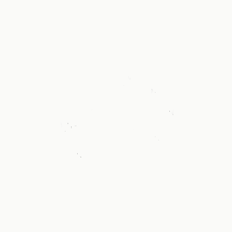 CC(C)(C)Oc1ncnc2[nH]cc(CC=C(C#N)C(N)=O)c12